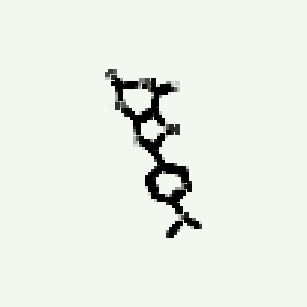 CN(C)c1ccc(-c2nc3[nH]c(=O)[nH]c(=O)c3[nH]2)cn1